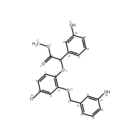 COC(=O)C(Oc1ccc(Cl)cc1OCc1cccc(O)c1)c1cccc(O)c1